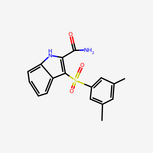 Cc1cc(C)cc(S(=O)(=O)c2c(C(N)=O)[nH]c3ccccc23)c1